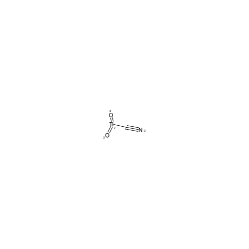 N#[C][Ti](=[O])=[O]